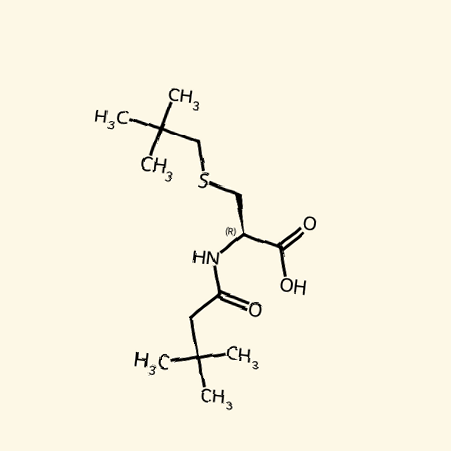 CC(C)(C)CSC[C@H](NC(=O)CC(C)(C)C)C(=O)O